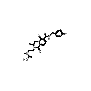 CC1Cn2c(ccc(C(=O)NCc3ccc(Cl)cc3)c2=O)C(=O)N1CCN(C)C(=O)O